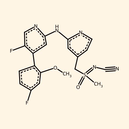 COc1cc(F)ccc1-c1cc(Nc2cc(CS(C)(=O)=NC#N)ccn2)ncc1F